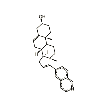 C[C@]12CC[C@H](O)CC1=CC[C@@H]1C2CC[C@]2(C)C(c3ccc4cnccc4c3)=CC[C@@H]12